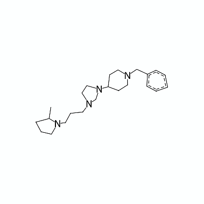 CC1CCCN1CCCN1CCN(C2CCN(Cc3ccccc3)CC2)C1